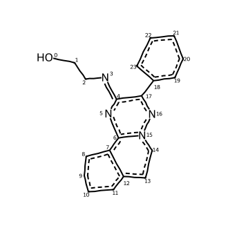 OCCN=c1nc2c3ccccc3ccn2nc1-c1ccccc1